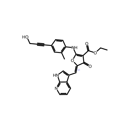 CCOC(=O)C1=C(Nc2ccc(C#CCO)cc2C)O/C(=C\c2c[nH]c3ncccc23)C1=O